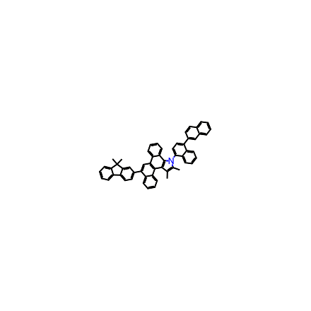 Cc1c(C)n(-c2ccc(-c3ccc4ccccc4c3)c3ccccc23)c2c3ccccc3c3cc(-c4ccc5c(c4)C(C)(C)c4ccccc4-5)c4ccccc4c3c12